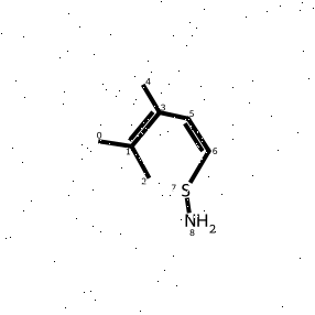 CC(C)=C(C)/C=C\SN